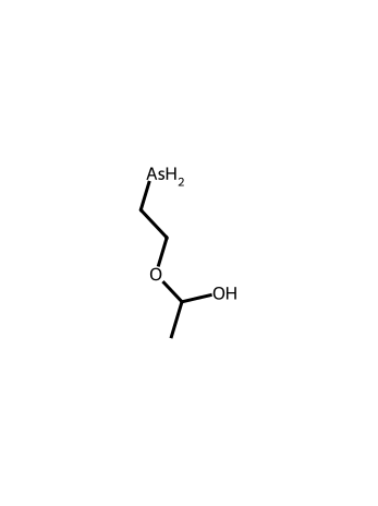 CC(O)OCC[AsH2]